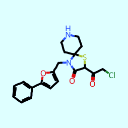 O=C(CCl)C1SC2(CCNCC2)N(Cc2ccc(-c3ccccc3)o2)C1=O